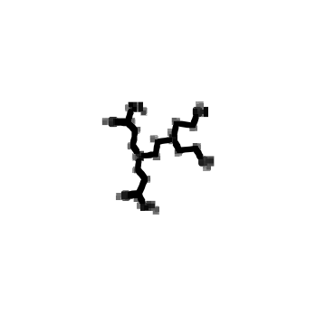 NC(=O)CCN(CCC(N)=O)CCN(CCO)CCO